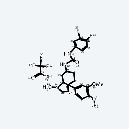 CCOc1ccc(C23CCC(NC(=O)Nc4ccc(F)c(F)c4)CC2N(C)CC3)cc1OC.O=C(O)C(F)(F)F